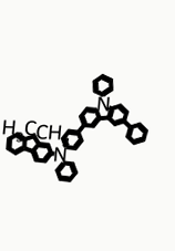 CC1(C)c2ccccc2-c2ccc(N(c3ccccc3)c3ccc(-c4ccc5c(c4)c4cc(-c6ccccc6)ccc4n5-c4ccccc4)cc3)cc21